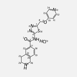 Cl.O=C(Nc1nnc(COc2ccncc2)s1)c1ccc2c(c1)CCNC2